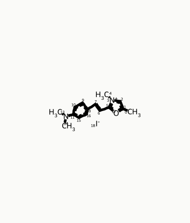 Cc1c[n+](C)c(C=Cc2ccc(N(C)C)cc2)o1.[I-]